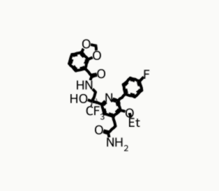 CCOc1c(CC(N)=O)cc([C@@](O)(CNC(=O)c2cccc3c2OCO3)C(F)(F)F)nc1-c1ccc(F)cc1